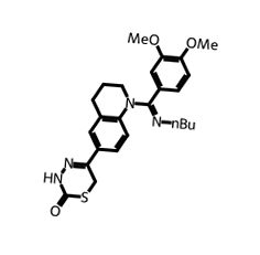 CCCCN=C(c1ccc(OC)c(OC)c1)N1CCCc2cc(C3=NNC(=O)SC3)ccc21